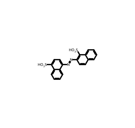 O=S(=O)(O)c1c(N=Nc2ccc(S(=O)(=O)O)c3ccccc23)ccc2ccccc12